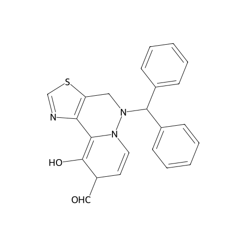 O=CC1C=CN2C(=C1O)c1ncsc1CN2C(c1ccccc1)c1ccccc1